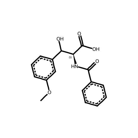 COc1cccc(C(O)[C@H](NC(=O)c2ccccc2)C(=O)O)c1